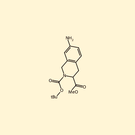 COC(=O)C1Cc2ccc(N)cc2CN1C(=O)OC(C)(C)C